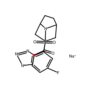 O=C(c1c[n-]nn1)N1CC2CCC(C1)N2S(=O)(=O)c1cccc(F)c1.[Na+]